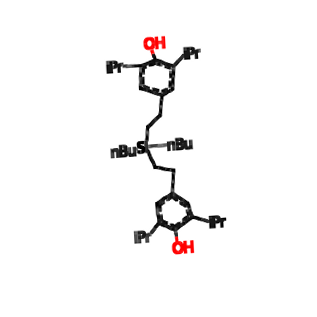 CCCC[Si](CCCC)(CCc1cc(C(C)C)c(O)c(C(C)C)c1)CCc1cc(C(C)C)c(O)c(C(C)C)c1